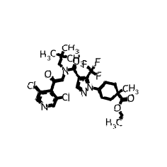 CCOC(=O)C1(C)CCC(n2ncc(C(=O)N(CC(=O)c3c(Cl)cncc3Cl)CC(C)(C)C)c2C(F)(F)F)CC1